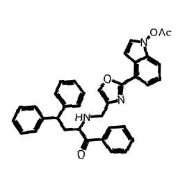 CC(=O)On1ccc2c(-c3nc(CNC(CC(c4ccccc4)c4ccccc4)C(=O)c4ccccc4)co3)cccc21